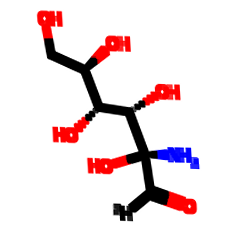 [2H]C(=O)[C@](N)(O)[C@@H](O)[C@H](O)[C@H](O)CO